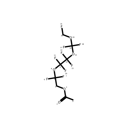 CC(=O)OCC(F)(F)OC(F)(F)C(F)(F)OC(F)(F)OCF